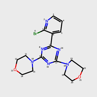 Brc1ncccc1-c1nc(N2CCOCC2)nc(N2CCOCC2)n1